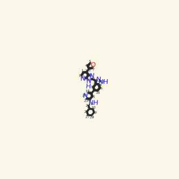 c1cc(-c2ccoc2)c2nc(-c3n[nH]c4ccc(-c5cncc(NCC6CCCCC6)c5)cc34)[nH]c2n1